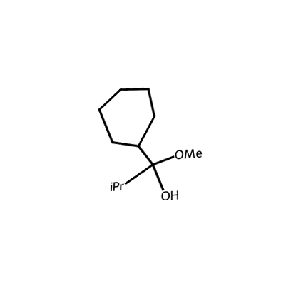 COC(O)(C(C)C)C1CCCCC1